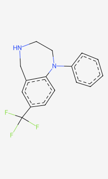 FC(F)(F)c1ccc2c(c1)CNCCN2c1ccccc1